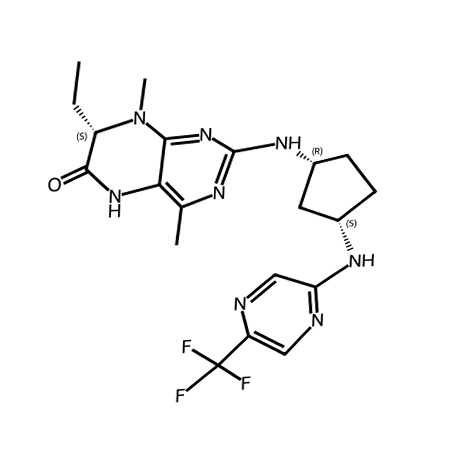 CC[C@H]1C(=O)Nc2c(C)nc(N[C@@H]3CC[C@H](Nc4cnc(C(F)(F)F)cn4)C3)nc2N1C